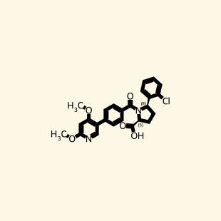 COc1cc(OC)c(-c2ccc(C(=O)N3[C@@H](c4ccccc4Cl)CC[C@H]3C(=O)O)cc2)cn1